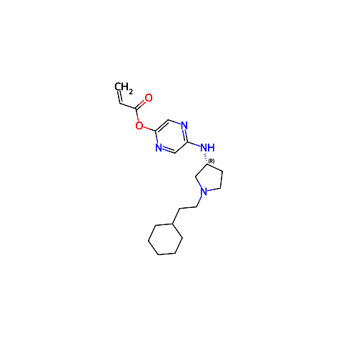 C=CC(=O)Oc1cnc(N[C@@H]2CCN(CCC3CCCCC3)C2)cn1